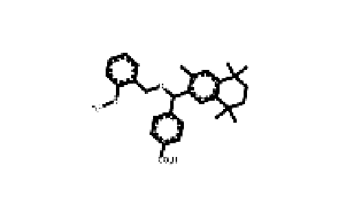 Cc1cc2c(cc1C(OCc1ccccc1OC(F)(F)F)c1ccc(C(=O)O)cc1)C(C)(C)CCC2(C)C